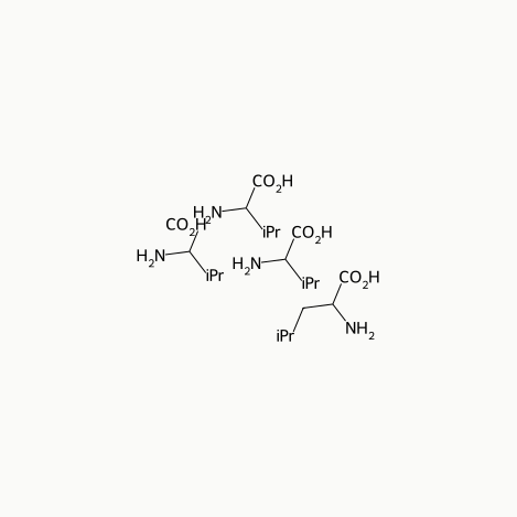 CC(C)C(N)C(=O)O.CC(C)C(N)C(=O)O.CC(C)C(N)C(=O)O.CC(C)CC(N)C(=O)O